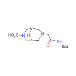 CC(C)(C)NC(=O)CN1CC2CN(C(=O)O)CC(C1)O2